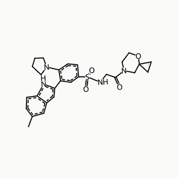 Cc1ccc2[nH]c(-c3cc(S(=O)(=O)NCC(=O)N4CCOC5(CC5)C4)ccc3N3CCCC3)cc2c1